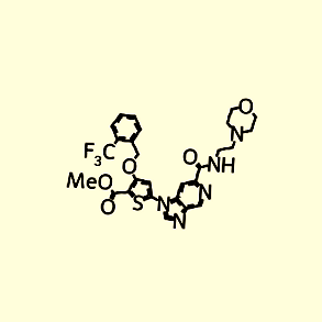 COC(=O)c1sc(-n2cnc3cnc(C(=O)NCCN4CCOCC4)cc32)cc1OCc1ccccc1C(F)(F)F